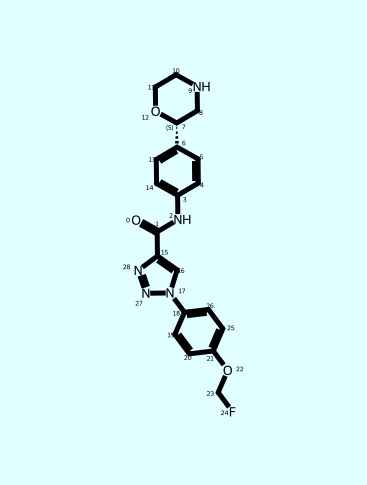 O=C(Nc1ccc([C@H]2CNCCO2)cc1)c1cn(-c2ccc(OCF)cc2)nn1